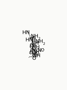 C=C(N[C@H](Cc1ccccc1)C(=O)N[C@@H](CCCN)C(=O)NCC(=O)N[C@@H](CCCCNC)C(N)=O)C1(NC(=O)[C@H](C)NC(=O)CCCC)CCN(c2ccccc2)CC1